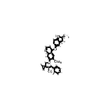 COc1cc2c(Oc3ccc4[nH]c(C)cc4c3)ccnc2cc1OCC1(N(Cc2ccccc2)C(=O)O)CC1